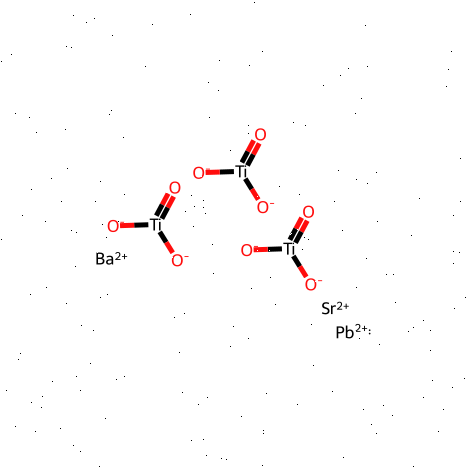 [Ba+2].[O]=[Ti]([O-])[O-].[O]=[Ti]([O-])[O-].[O]=[Ti]([O-])[O-].[Pb+2].[Sr+2]